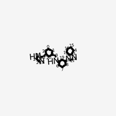 c1cc(CNc2cccc(-n3cnc4ccccc43)c2)cc(-c2ncc[nH]2)c1